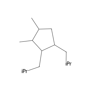 CC(C)CC1CC(C)C(C)C1CC(C)C